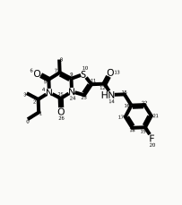 CCC(C)n1c(=O)c(C)c2sc(C(=O)NCc3ccc(F)cc3)cn2c1=O